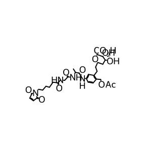 CC(=O)OCc1ccc(NC(=O)C(C)NC(=O)CNC(=O)CCCCCN2C(=O)C=CC2=O)cc1CCC1CC(O)[C@H](O)C(C(=O)O)O1